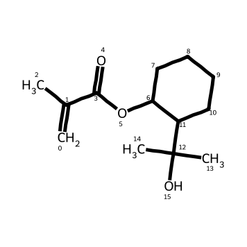 C=C(C)C(=O)OC1CCCCC1C(C)(C)O